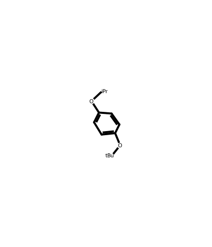 CC(C)Oc1ccc(OC(C)(C)C)cc1